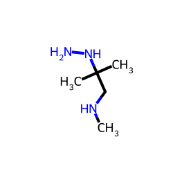 CNCC(C)(C)NN